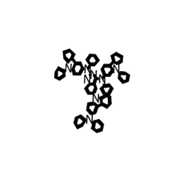 c1ccc(N(c2ccccc2)c2ccc3c(c2)c2ccccc2n3-c2ccc3nc(N(c4ccccc4)c4ccc5c(c4)c4ccccc4n5-c4ccccc4)nc(N(c4ccccc4)c4ccc5c6ccccc6n(-c6ccccc6)c5c4)c3c2)cc1